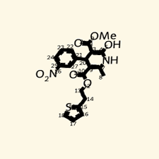 COC(=O)C1=C(O)NC(C)=C(C(=O)OCCc2cccs2)C1c1cccc([N+](=O)[O-])c1